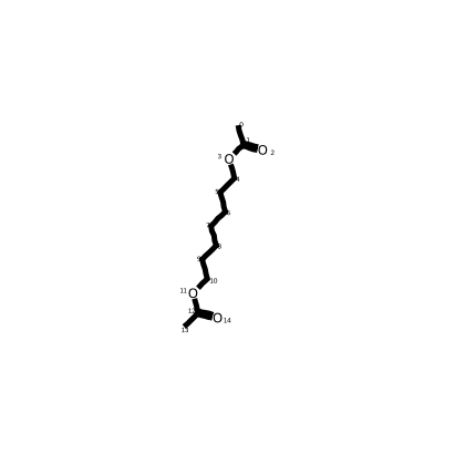 CC(=O)OCCCCCCCOC(C)=O